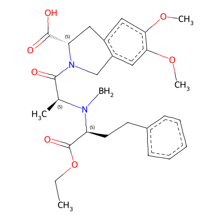 BN([C@@H](C)C(=O)N1Cc2cc(OC)c(OC)cc2C[C@H]1C(=O)O)[C@@H](CCc1ccccc1)C(=O)OCC